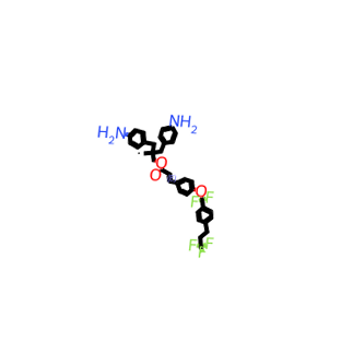 [CH2]C(COC(=O)/C=C/c1ccc(OC(F)(F)c2ccc(CCC(F)(F)F)cc2)cc1)(Cc1ccc(N)cc1)Cc1ccc(N)cc1